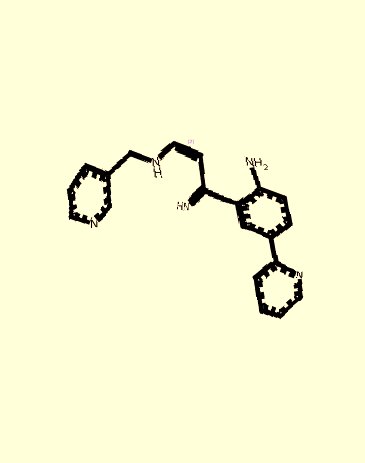 N=C(/C=C\NCc1cccnc1)c1cc(-c2ccccn2)ccc1N